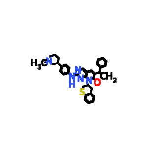 C=C(c1ccccc1)c1cc2cnc(Nc3ccc(C4CCCN(C)C4)cc3)nc2n(C2CSc3ccccc3C2)c1=O